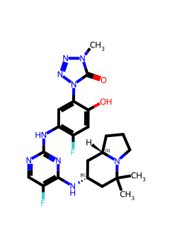 Cn1nnn(-c2cc(Nc3ncc(F)c(N[C@@H]4C[C@@H]5CCCN5C(C)(C)C4)n3)c(F)cc2O)c1=O